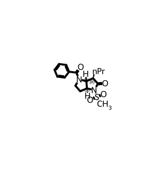 CCC[C@H]1C(=O)N(S(C)(=O)=O)[C@H]2CCN(C(=O)c3ccccc3)[C@H]12